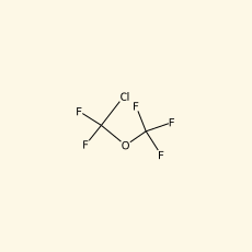 FC(F)(F)OC(F)(F)Cl